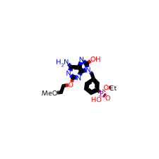 CCOP(=O)(O)c1cccc(Cn2c(O)nc3c(N)nc(OCCOC)nc32)c1